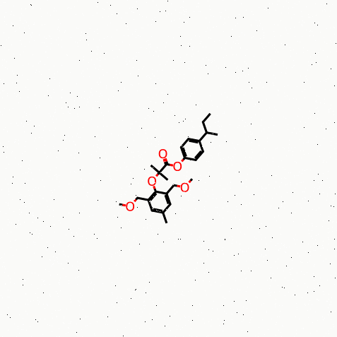 CCC(C)c1ccc(OC(=O)C(C)(C)Oc2c(COC)cc(C)cc2COC)cc1